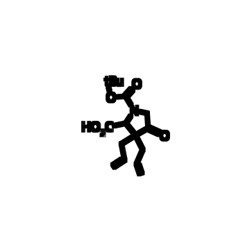 C=CCC1(CC=C)C(=O)CN(C(=O)OC(C)(C)C)C1C(=O)O